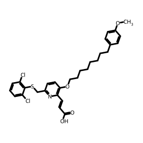 COc1ccc(CCCCCCCCOc2ccc(CSc3c(Cl)cccc3Cl)nc2C=CC(=O)O)cc1